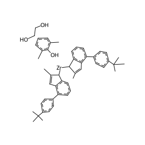 CC1=Cc2c(-c3ccc(C(C)(C)C)cc3)cccc2[CH]1[Zr][CH]1C(C)=Cc2c(-c3ccc(C(C)(C)C)cc3)cccc21.Cc1cccc(C)c1O.OCCO